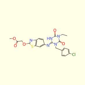 CCn1c(=O)[nH]/c(=N\c2ccc3nc(OCC(=O)OC)sc3c2)n(Cc2ccc(Cl)cc2)c1=O